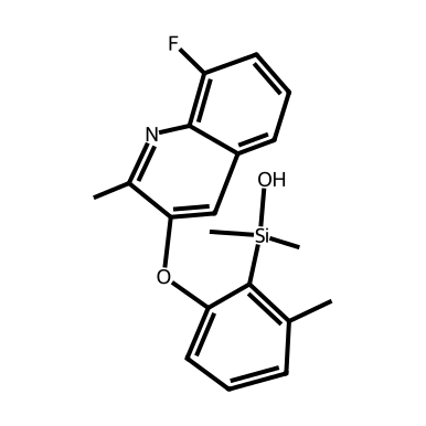 Cc1cccc(Oc2cc3cccc(F)c3nc2C)c1[Si](C)(C)O